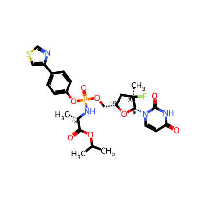 CC(C)OC(=O)[C@H](C)NP(=O)(OC[C@@H]1C[C@@](C)(F)[C@H](n2ccc(=O)[nH]c2=O)O1)Oc1ccc(-c2cscn2)cc1